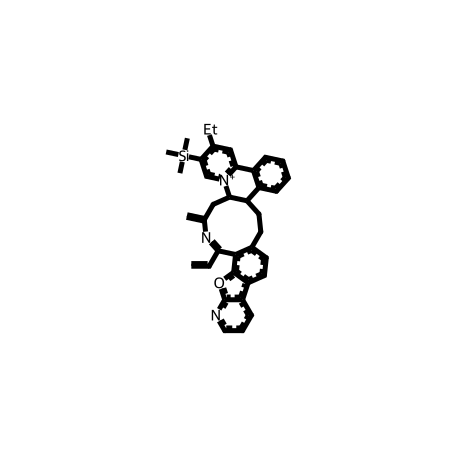 C=C/C1=N/C(=C)CC2C(CCc3ccc4c(oc5ncccc54)c31)c1ccccc1-c1cc(CC)c([Si](C)(C)C)c[n+]12